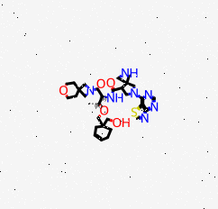 C[C@@H](OCC1(CO)CC=CCC1)[C@H](NC(=O)C1CN(c2ncnc3ncsc23)CC12CNC2)C(=O)N1CC2(CCOCC2)C1